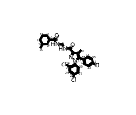 Cc1c(C(=O)NCNC(=O)C2CCCC(C)C2)nn(-c2ccc(Cl)cc2Cl)c1-c1ccc(Cl)cc1